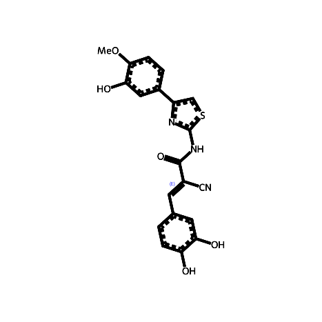 COc1ccc(-c2csc(NC(=O)/C(C#N)=C/c3ccc(O)c(O)c3)n2)cc1O